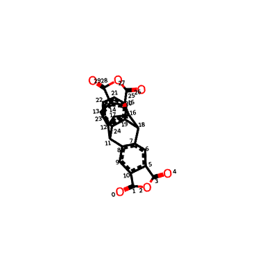 O=C1OC(=O)c2cc3c(cc21)C1c2cc4c(c(c2)C3c2ccccc21)C(=O)OC4=O